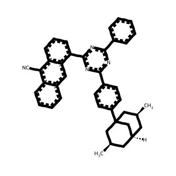 C[C@@H]1C[C@@H]2C[C@H](C)CC(c3ccc(-c4nc(-c5ccccc5)nc(-c5cccc6c(C#N)c7ccccc7cc56)n4)cc3)(C1)C2